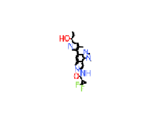 CC[C@@H](O)c1cc(C)c(-c2cc3cnc(NC(=O)[C@H]4CC4(F)F)cc3c3c2ncn3C)cn1